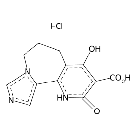 Cl.O=C(O)c1c(O)c2c([nH]c1=O)-c1cncn1CCC2